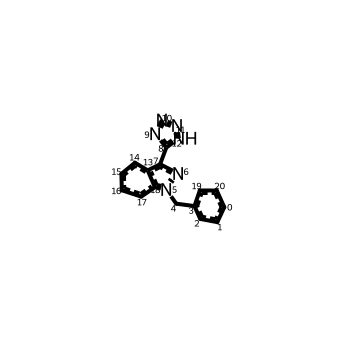 c1ccc(Cn2nc(-c3nnn[nH]3)c3ccccc32)cc1